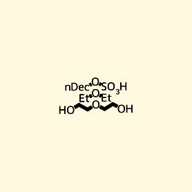 CCCCCCCCCCOS(=O)(=O)O.CCOCC.OCCOCCO